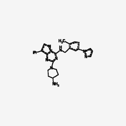 Cc1ccc(-n2cccn2)cc1CNc1nc(N2CCC(N)CC2)nc2c(C(C)C)cnn12